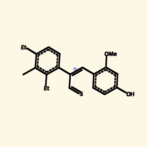 CCc1ccc(/C(C=S)=C/c2ccc(O)cc2OC)c(CC)c1C